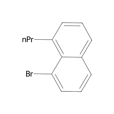 C[CH]Cc1cccc2cccc(Br)c12